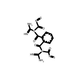 N=C(N)N(C(=O)N=S)C(=O)c1ccccc1C(=O)N(C(=N)N)C(=O)N=S